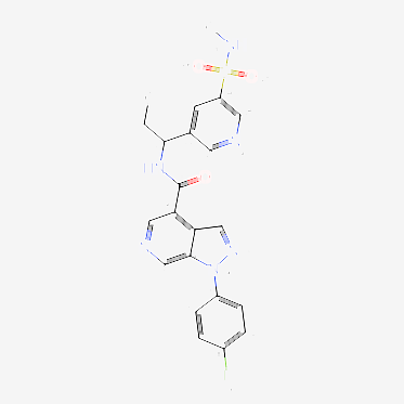 CCC(NC(=O)c1cncc2c1cnn2-c1ccc(F)cc1)c1cncc(S(=O)(=O)NC)c1